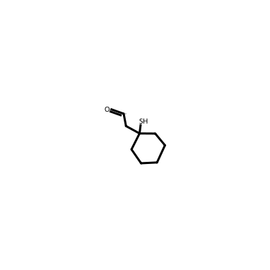 O=[C]CC1(S)CCCCC1